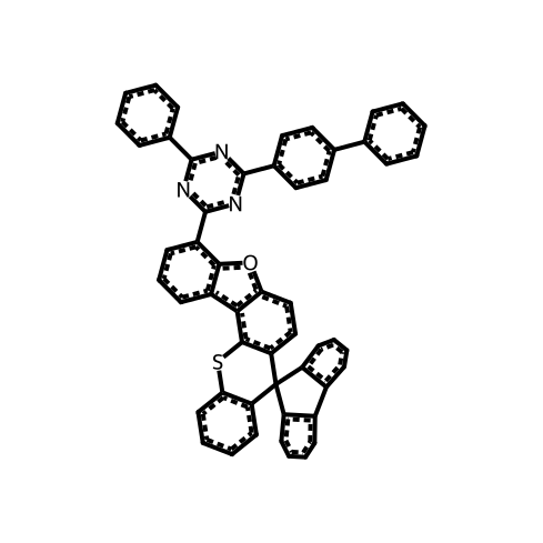 c1ccc(-c2ccc(-c3nc(-c4ccccc4)nc(-c4cccc5c4oc4ccc6c(c45)Sc4ccccc4C64c5ccccc5-c5ccccc54)n3)cc2)cc1